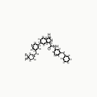 O=C(Nc1cncc(Cc2ccccc2)c1)c1n[nH]c2ccc(-c3cncc(CN4CCC(F)(F)C4)c3)cc12